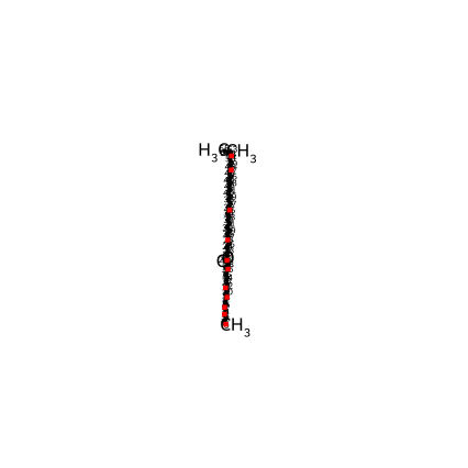 CCCCCCC=CCCCCCCCCCCCC(=O)OCCCCCCCCCCCCCCCCCCCCCCCCCCCCCCC(C)CC